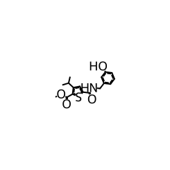 COC(=O)c1sc(C(=O)NCc2cccc(O)c2)cc1C(C)C